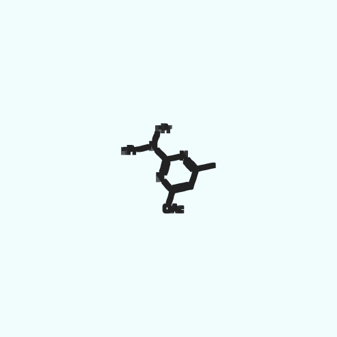 CCCN(CCC)c1nc(C)cc(OC(C)=O)n1